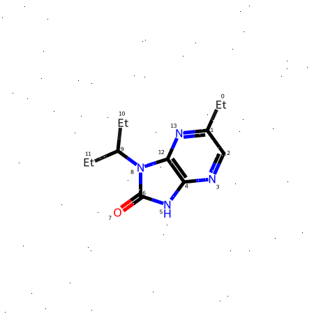 CCc1cnc2[nH]c(=O)n(C(CC)CC)c2n1